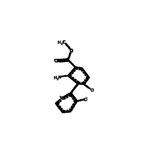 COC(=O)c1ccc(Cl)c(-c2ncccc2Cl)c1N